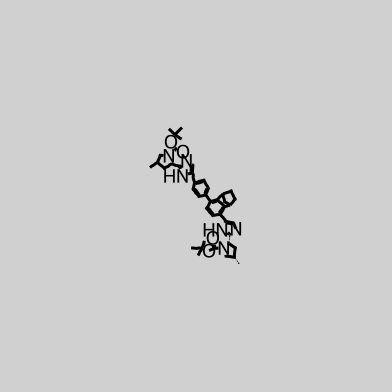 CC1CC(c2ncc(-c3ccc(-c4ccc(-c5cnc([C@@H]6C[C@H](C)CN6C(=O)OC(C)(C)C)[nH]5)c5c4C4CCC5C4)cc3)[nH]2)N(C(=O)OC(C)(C)C)C1